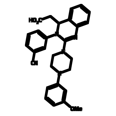 COc1cccc(N2CCN(C3=Nc4ccccc4C(CC(=O)O)N3c3cccc(C#N)c3)CC2)c1